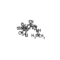 CN(C)CCNc1ccc(-n2cc(C#N)c3cc(N(CC(=O)OC(C)(C)C)S(=O)(=O)c4cc(Cl)cc(Cl)c4)ccc32)nn1